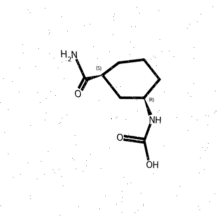 NC(=O)[C@H]1CCC[C@@H](NC(=O)O)C1